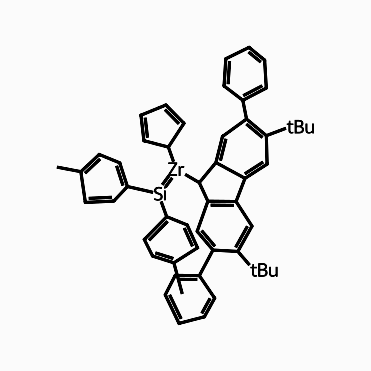 Cc1ccc([Si](c2ccc(C)cc2)=[Zr]([CH]2C=CC=C2)[CH]2c3cc(-c4ccccc4)c(C(C)(C)C)cc3-c3cc(C(C)(C)C)c(-c4ccccc4)cc32)cc1